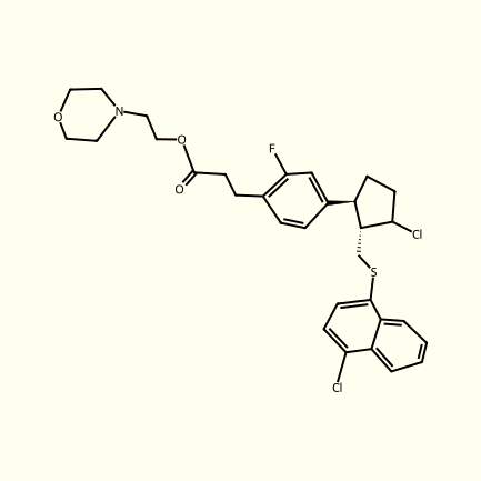 O=C(CCc1ccc([C@H]2CCC(Cl)[C@@H]2CSc2ccc(Cl)c3ccccc23)cc1F)OCCN1CCOCC1